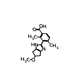 COC1Cc2nc(-c3c(C)ccc(C(=O)O)c3C)[nH]c2C1